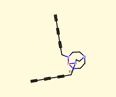 C#CC#CC#CCN1CCN2CCN(CC)P1N(CC#CC#CC#C)CC2